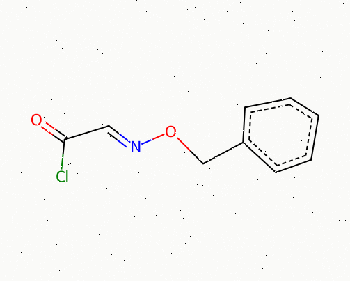 O=C(Cl)/C=N/OCc1ccccc1